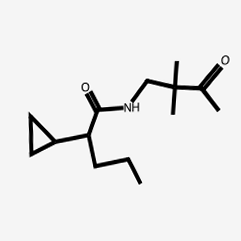 CCCC(C(=O)NCC(C)(C)C(C)=O)C1CC1